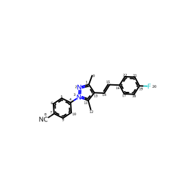 Cc1nn(-c2ccc(C#N)cc2)c(C)c1/C=C/c1ccc(F)cc1